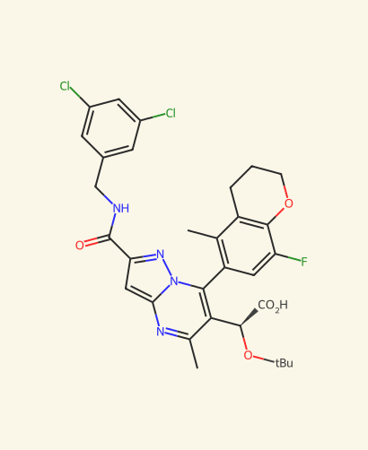 Cc1nc2cc(C(=O)NCc3cc(Cl)cc(Cl)c3)nn2c(-c2cc(F)c3c(c2C)CCCO3)c1[C@H](OC(C)(C)C)C(=O)O